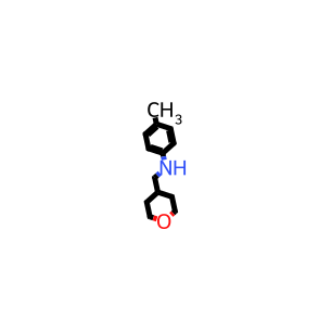 Cc1ccc(NCC2CCOCC2)cc1